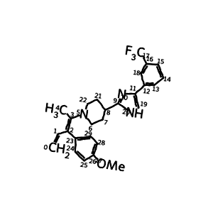 C=C/C(=C(\C)N1CCC(c2nc(-c3cccc(C(F)(F)F)c3)c[nH]2)CC1)c1ccc(OC)cc1